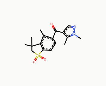 Cc1c(C(=O)c2cnn(C)c2C)ccc2c1C(C)(C)CS2(=O)=O